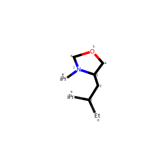 CCC(CC1COCN1C(C)C)C(C)C